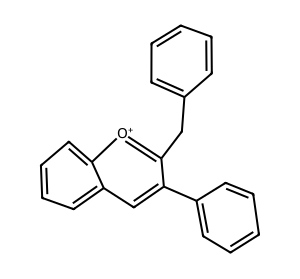 c1ccc(Cc2[o+]c3ccccc3cc2-c2ccccc2)cc1